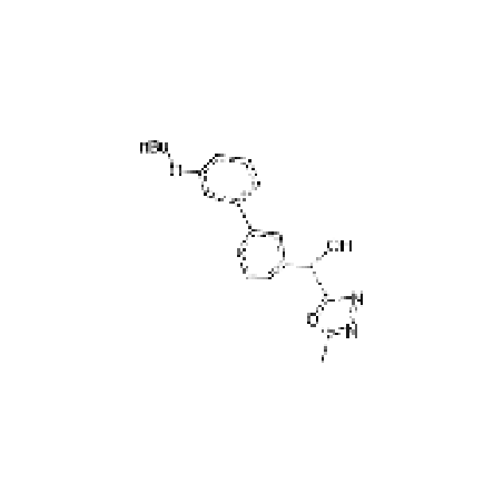 CCCCOc1cccc(-c2cccc(C(O)c3nnc(C)o3)c2)c1